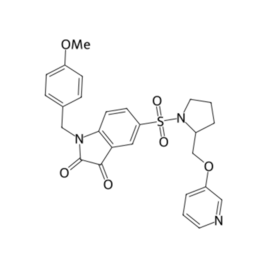 COc1ccc(CN2C(=O)C(=O)c3cc(S(=O)(=O)N4CCCC4COc4cccnc4)ccc32)cc1